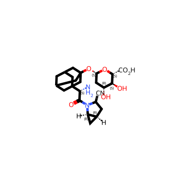 N#CC1C[C@H]2C[C@H]2N1C(=O)[C@@H](N)C12CC3CC(CC(O[C@H]4C[C@@H](O)[C@H](O)[C@@H](C(=O)O)O4)(C3)C1)C2